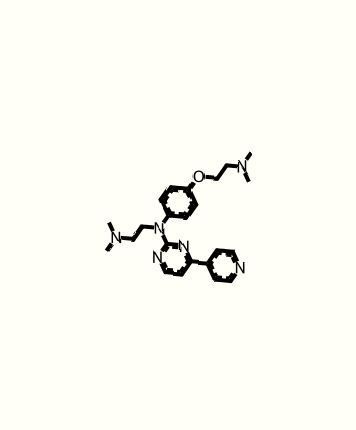 CN(C)CCOc1ccc(N(CCN(C)C)c2nccc(-c3ccncc3)n2)cc1